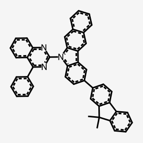 CC1(C)c2ccccc2-c2ccc(-c3ccc4c(c3)c3cc5ccccc5cc3n4-c3nc(-c4ccccc4)c4ccccc4n3)cc21